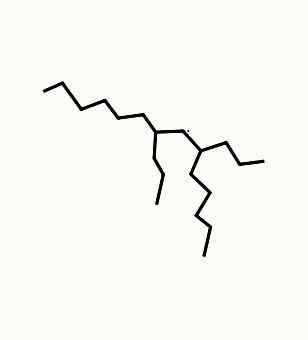 CCCCCCC([CH]C(CCC)CCCCC)CCC